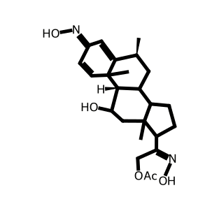 CC(=O)OC/C(=N\O)C1CCC2C3C[C@H](C)C4=C/C(=N/O)C=CC4(C)[C@H]3C(O)CC12C